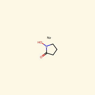 O=C1CCCN1O.[Na]